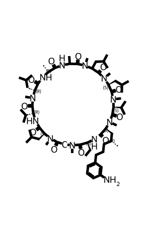 CC[C@@H]1NC(=O)[C@H](C[C@H](C)CCCc2cccc(N)c2)N(C)C(=O)[C@H](C(C)C)N(C)C(=O)[C@H](CC(C)C)N(C)C(=O)C(CC(C)C)N(C)C(=O)C(C)NC(=O)[C@@H](C)NC(=O)[C@@H](CC(C)C)N(C)C(=O)[C@@H](C(C)C)NC(=O)[C@H](CC(C)C)N(C)C(=O)CN(C)C1=O